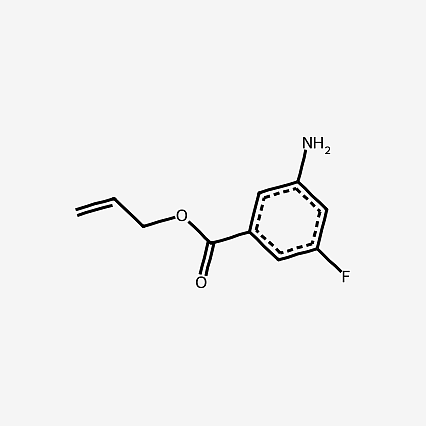 C=CCOC(=O)c1cc(N)cc(F)c1